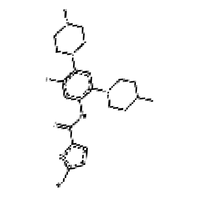 CC1CCN(c2cc(N3CCN(C)CC3)c(F)cc2NC(=O)c2ccc(C#N)o2)CC1